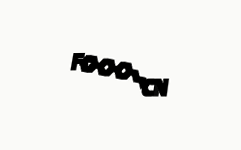 N#CC=CCCC1CCC(C2CCC(c3ccc(F)cc3)CC2)CC1